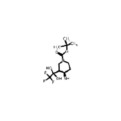 CC(C)(C)OC(=O)N1CCC(=N)C(C(O)(O)C(F)(F)F)C1